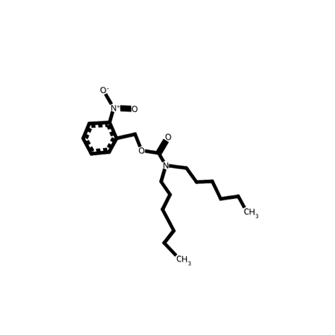 CCCCCCN(CCCCCC)C(=O)OCc1ccccc1[N+](=O)[O-]